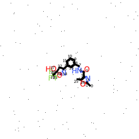 Cc1nc(C(=O)NCc2cccc(C3=NOC(O)(C(F)(F)F)C3)c2)c(C)o1